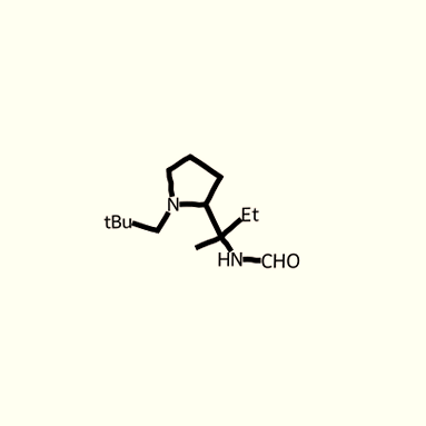 CCC(C)(NC=O)C1CCCN1CC(C)(C)C